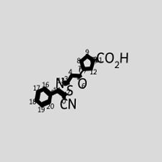 N#Cc1sc(CC(=O)[C@H]2CC[C@@H](C(=O)O)C2)nc1-c1ccccc1